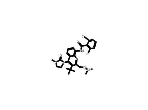 CN1CCN(c2c(C(C)(C)C)c(CO[SiH](C)C)nc3c(NC(=O)c4c(Cl)cccc4Cl)cccc23)C1=O